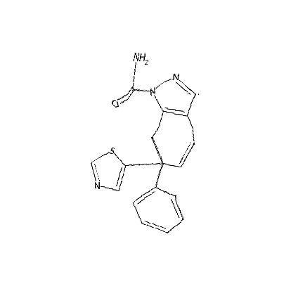 NC(=O)n1n[c]c2c1CC(c1ccccc1)(c1cncs1)C=C2